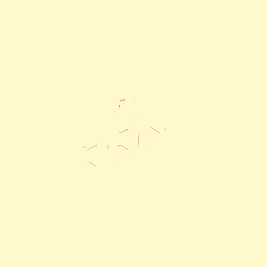 C/C=C/c1c(F)cc(C2C=CC=CC2)cc1SC(C)C